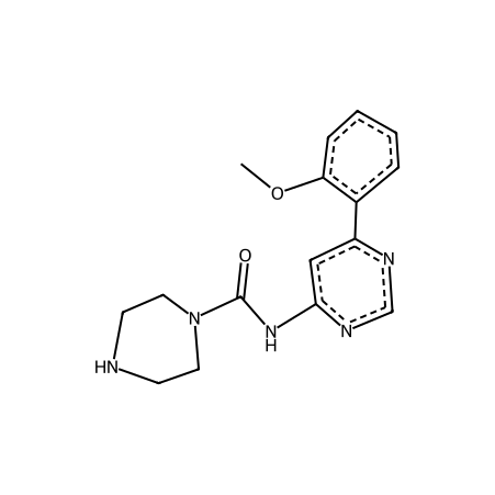 COc1ccccc1-c1cc(NC(=O)N2CCNCC2)ncn1